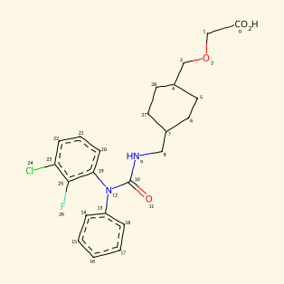 O=C(O)COCC1CCC(CNC(=O)N(c2ccccc2)c2cccc(Cl)c2F)CC1